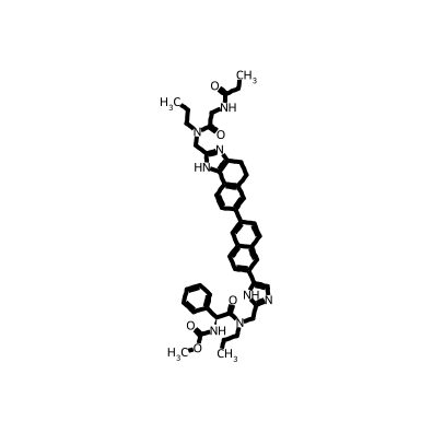 CCCN(Cc1nc2c([nH]1)-c1ccc(-c3ccc4cc(-c5cnc(CN(CCC)C(=O)[C@H](NC(=O)OC)c6ccccc6)[nH]5)ccc4c3)cc1CC2)C(=O)CNC(=O)CC